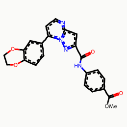 COC(=O)c1ccc(NC(=O)c2cc3nccc(-c4ccc5c(c4)OCCO5)n3n2)cc1